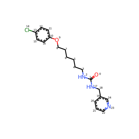 O=C(NCCCCCCOc1ccc(Cl)cc1)NCc1cccnc1